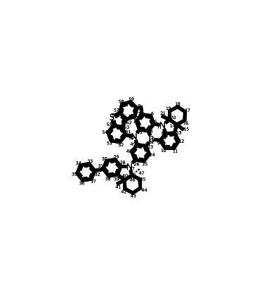 Cc1cc2c3c(c1)N1c4c(cccc4C4(C)CCCCC14C)B3c1ccc(N3c4ccc(-c5ccccc5)cc4C4(C)CCCC[C@]34C)cc1N2c1cccc2sc3ccccc3c12